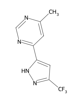 Cc1cc(-c2cc(C(F)(F)F)n[nH]2)ncn1